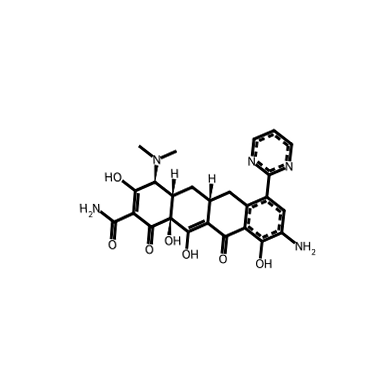 CN(C)[C@@H]1C(O)=C(C(N)=O)C(=O)[C@@]2(O)C(O)=C3C(=O)c4c(O)c(N)cc(-c5ncccn5)c4C[C@H]3C[C@@H]12